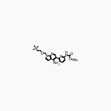 CC(C)(C)OC(=O)Nc1cccc(-c2cnc3c(ccn3COCC[Si](C)(C)C)c2N)n1